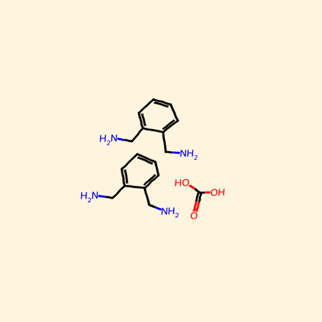 NCc1ccccc1CN.NCc1ccccc1CN.O=C(O)O